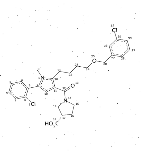 Cn1c(-c2ccccc2Cl)cc(C(=O)N2CC[C@H](C(=O)O)C2)c1CCCCOCc1cccc(Cl)c1